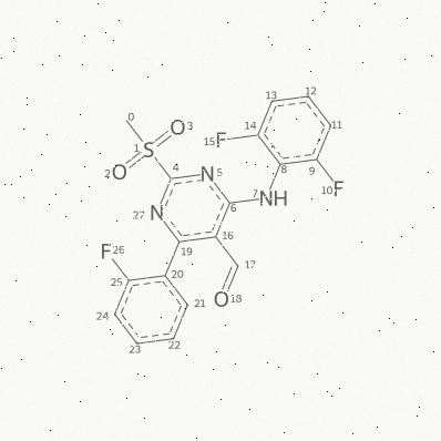 CS(=O)(=O)c1nc(Nc2c(F)cccc2F)c(C=O)c(-c2ccccc2F)n1